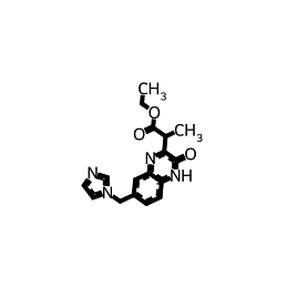 CCOC(=O)C(C)c1nc2cc(Cn3ccnc3)ccc2[nH]c1=O